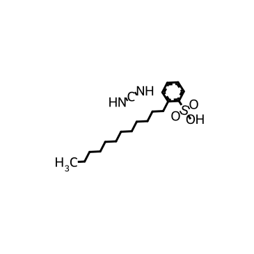 CCCCCCCCCCCCc1ccccc1S(=O)(=O)O.N=C=N